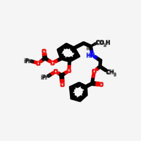 CC(C)OC(=O)Oc1ccc(C[C@H](NCC(C)OC(=O)c2ccccc2)C(=O)O)cc1OC(=O)OC(C)C